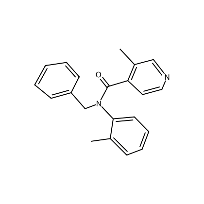 Cc1cnccc1C(=O)N(Cc1ccccc1)c1ccccc1C